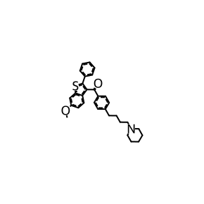 COc1ccc2c(C(=O)c3ccc(CCCCN4CCCCC4)cc3)c(-c3ccccc3)sc2c1